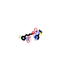 O=C(NOCC=CCc1cc(F)ccc1[N+](=O)[O-])N1[C]=CSC1c1ccncc1